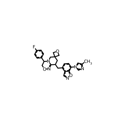 Cc1cn(-c2ccc(CC3CC4(COC4)CN4C3=NOCC4c3ccc(F)cc3)c3cnoc23)cn1